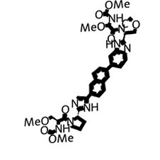 COC[C@H](NC(=O)OC)C(=O)N1CCC[C@H]1c1ncc(-c2ccc3cc(-c4ccc5nc([C@@H]6COCCN6C(=O)C(NC(=O)OC)OC)[nH]c5c4)ccc3c2)[nH]1